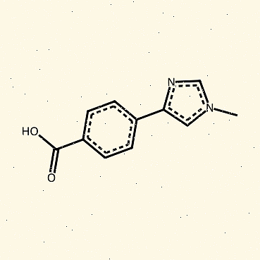 Cn1cnc(-c2ccc(C(=O)O)cc2)c1